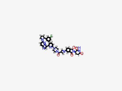 O=C1CCC(N2C(=O)c3ccc(N4CC(C(=O)N5CCN(c6cccc(-c7cnc8ccc(N9CCCC9c9cccc(F)c9)nn78)n6)CC5)C4)cc3C2=O)C(=O)N1